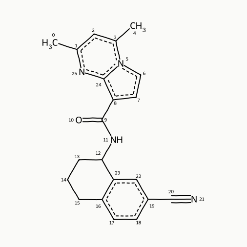 Cc1cc(C)n2ccc(C(=O)NC3CCCc4ccc(C#N)cc43)c2n1